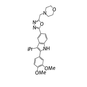 COc1ccc(-c2[nH]c3ccc(-c4nnc(CN5CCOCC5)o4)cc3c2C(C)C)cc1OC